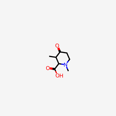 CC1C(=O)CCN(C)C1C(=O)O